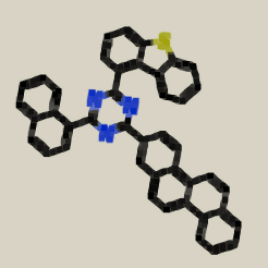 c1ccc2c(-c3nc(-c4ccc5c(ccc6c7ccccc7ccc56)c4)nc(-c4cccc5sc6ccccc6c45)n3)cccc2c1